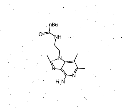 CCCCC(=O)NCCn1c(C)nc2c(N)nc(C)c(C)c21